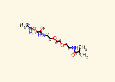 C=C(C)C(=O)NCCOCCOCCNC(=O)CONC